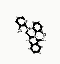 N#Cc1cccnc1NCc1nc2ccccc2c(=O)n1-c1ccccc1Cl